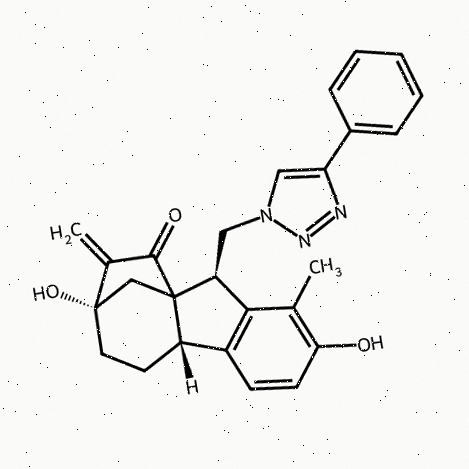 C=C1C(=O)C23C[C@@]1(O)CC[C@H]2c1ccc(O)c(C)c1[C@@H]3Cn1cc(-c2ccccc2)nn1